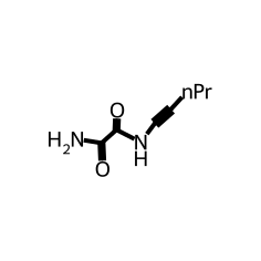 CCCC#CNC(=O)C(N)=O